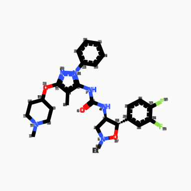 CCN1C[C@@H](NC(=O)Nc2c(C)c(OC3CCN(C)CC3)nn2-c2ccccc2)[C@H](c2ccc(F)c(F)c2)O1